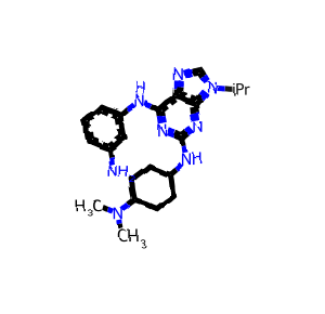 CC(C)n1cnc2c(Nc3cccc(N)c3)nc(NC3CCC(N(C)C)CC3)nc21